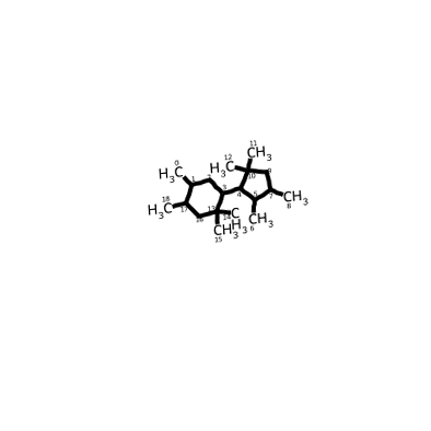 CC1C[C](C2C(C)C(C)CC2(C)C)C(C)(C)CC1C